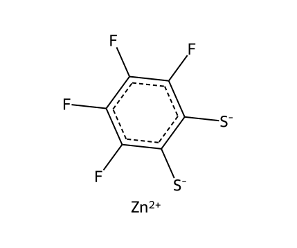 Fc1c(F)c(F)c([S-])c([S-])c1F.[Zn+2]